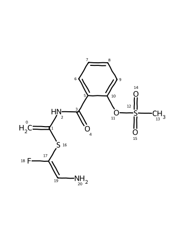 C=C(NC(=O)c1ccccc1OS(C)(=O)=O)S/C(F)=C\N